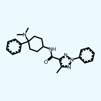 Cc1nn(-c2ccccc2)nc1C(=O)NC1CCC(c2ccccc2)(N(C)C)CC1